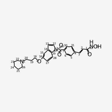 O=C(/C=C/c1ccc(S(=O)(=O)n2ccc3cc(OCCCN4CCCCC4)ccc32)cc1)NO